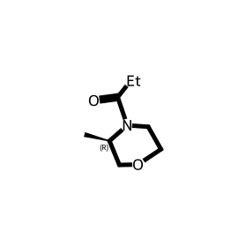 CCC(=O)N1CCOC[C@H]1C